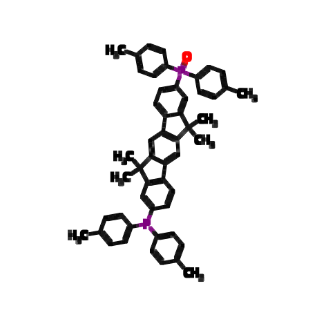 Cc1ccc(P(c2ccc(C)cc2)c2ccc3c(c2)C(C)(C)c2cc4c(cc2-3)C(C)(C)c2cc(P(=O)(c3ccc(C)cc3)c3ccc(C)cc3)ccc2-4)cc1